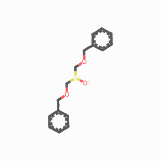 [O-][S+](COCc1ccccc1)COCc1ccccc1